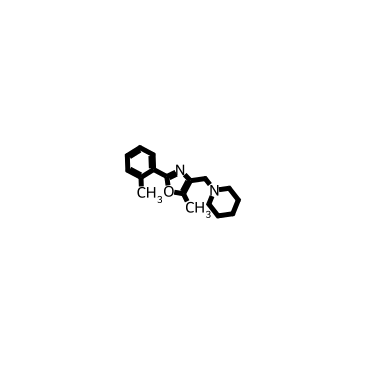 Cc1ccccc1-c1nc(CN2CCCCC2)c(C)o1